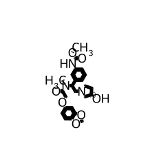 COC(=O)Nc1cccc(C(CN2CC[C@H](O)C2)N(C)C(=O)COc2ccc3c(c2)OCO3)c1